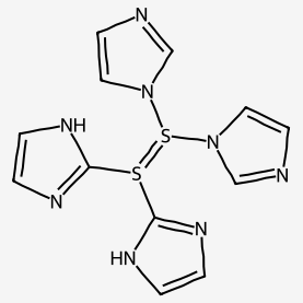 c1cn(S(n2ccnc2)=S(c2ncc[nH]2)c2ncc[nH]2)cn1